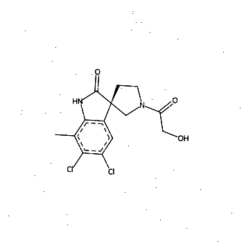 Cc1c(Cl)c(Cl)cc2c1NC(=O)[C@@]21CCN(C(=O)CO)C1